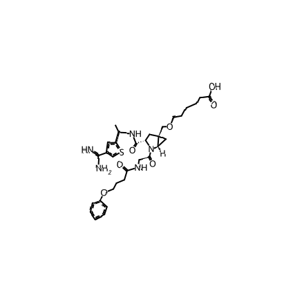 CC(NC(=O)[C@@H]1C[C@]2(COCCCCCC(=O)O)C[C@@H]2N1C(=O)CNC(=O)CCCOc1ccccc1)c1cc(C(=N)N)cs1